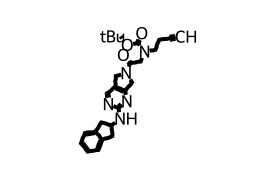 C#CCCN(CC(=O)N1Cc2cnc(NC3Cc4ccccc4C3)nc2C1)C(=O)OC(C)(C)C